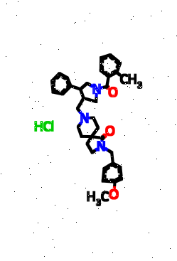 COc1ccc(CN2CCC3(CCN(CC4CN(C(=O)c5ccccc5C)CC4c4ccccc4)CC3)C2=O)cc1.Cl